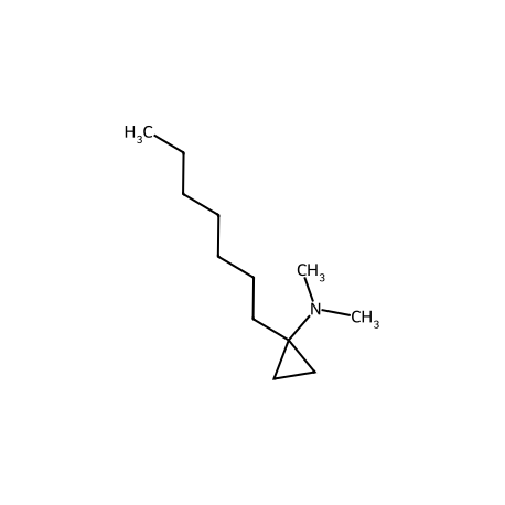 CCCCCCCC1(N(C)C)CC1